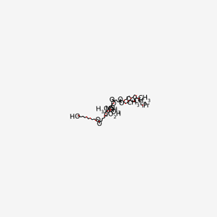 CC(C)CCCC(C)C1CCC2C3CC=C4CC(OC(=O)CCC(=O)OCC(C[N+](C)(C)CCC(=O)O)OC(=O)CCCCCCCCC(=O)OCCCCCCCCCCO)CCC4(C)C3CCC12C